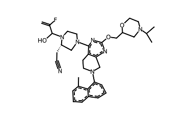 C=C(F)C(O)N1CCN(c2nc(OCC3CN(C(C)C)CCO3)nc3c2CCN(c2cccc4cccc(C)c24)C3)C[C@@H]1CC#N